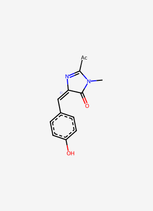 CC(=O)C1=N/C(=C/c2ccc(O)cc2)C(=O)N1C